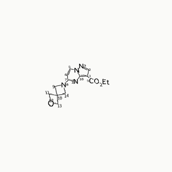 CCOC(=O)c1cnn2ccc(N3CC4(COC4)C3)nc12